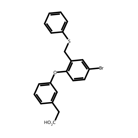 O=C(O)Cc1cccc(Oc2ccc(Br)cc2CSc2ccccc2)c1